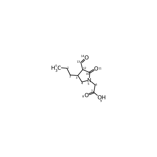 CCCC1CN(CC(=O)O)C(=O)C1C=O